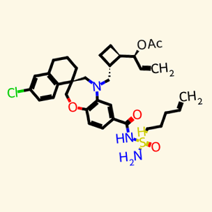 C=CCCC[SH](N)(=O)NC(=O)c1ccc2c(c1)N(C[C@@H]1CC[C@H]1[C@H](C=C)OC(C)=O)C[C@@]1(CCCc3cc(Cl)ccc31)CO2